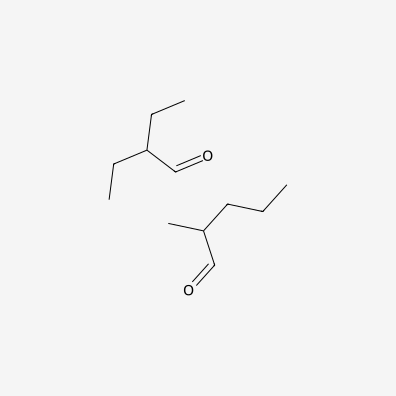 CCC(C=O)CC.CCCC(C)C=O